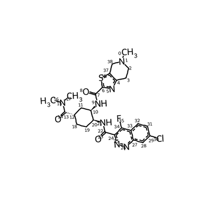 CN1CCc2nc(C(=O)N[C@@H]3C[C@@H](C(=O)N(C)C)CC[C@@H]3NC(=O)c3nnc4cc(Cl)ccc4c3F)sc2C1